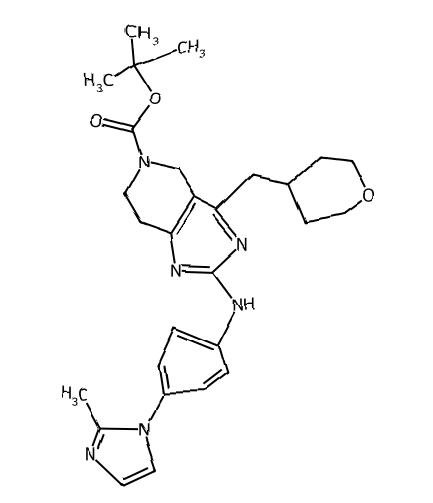 Cc1nccn1-c1ccc(Nc2nc3c(c(CC4CCOCC4)n2)CN(C(=O)OC(C)(C)C)CC3)cc1